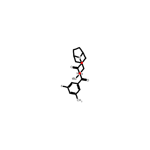 Cc1cc(F)cc(C(=O)NCC2CC3CCC(C2)N3CC(=O)NC(C)(C)C)c1